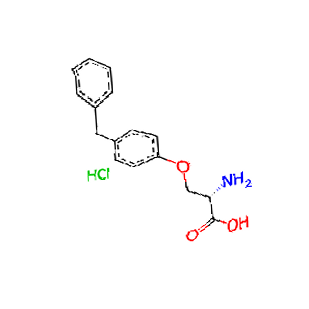 Cl.N[C@@H](COc1ccc(Cc2ccccc2)cc1)C(=O)O